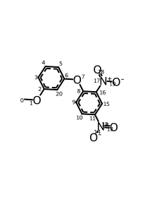 COc1cccc(Oc2ccc([N+](=O)[O-])cc2[N+](=O)[O-])c1